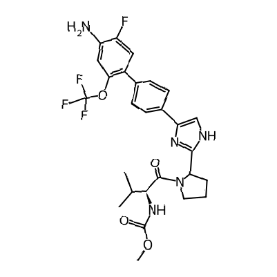 COC(=O)N[C@H](C(=O)N1CCCC1c1nc(-c2ccc(-c3cc(F)c(N)cc3OC(F)(F)F)cc2)c[nH]1)C(C)C